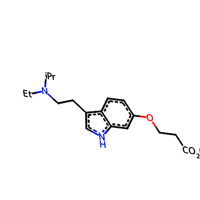 CCN(CCc1c[nH]c2cc(OCCC(=O)O)ccc12)C(C)C